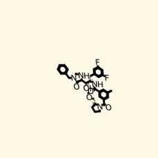 COC[C@H]1CCCN1C(=O)c1cc(C)cc(C(=O)N[C@@H](Cc2cc(F)cc(F)c2)[C@H](O)C2NCN(Cc3ccccc3)C2=O)c1